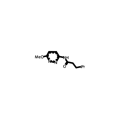 COc1ccc(NC(=O)CCC(C)C)nn1